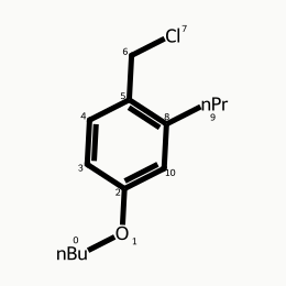 CCCCOc1ccc(CCl)c(CCC)c1